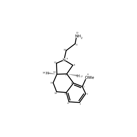 COc1cccc2c1[C@@H]1CN(CCN)C[C@@H]1CC2